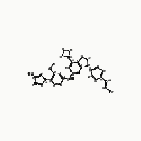 COc1cc(Nc2nc3c(c(N4CCC4)n2)CC[C@@H]3c2ccc(OCF)cc2)ccc1-n1cnc(Cl)c1